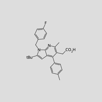 Cc1ccc(-c2c(CC(=O)O)c(C)nc3c2cc(C(C)(C)C)n3Cc2ccc(F)cc2)cc1